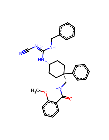 COc1ccccc1C(=O)NC[C@]1(c2ccccc2)CC[C@H](N/C(=N\C#N)NCc2ccccc2)CC1